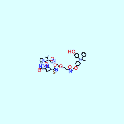 CC/C(=C(/c1ccc(O)cc1)c1ccc(OCCN(C)C(=O)CCCOCCOc2cc(C(C(=O)N3CCC[C@H]3C3=NC(=O)[C@](C)(c4ccc(-c5scnc5C)cc4)N3)C(C)C)on2)cc1)c1ccccc1